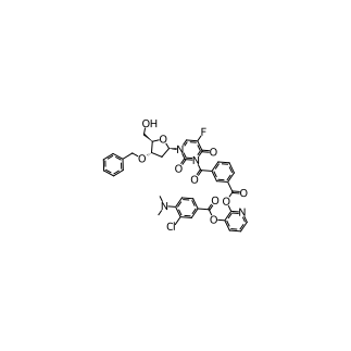 CN(C)c1ccc(C(=O)Oc2cccnc2OC(=O)c2cccc(C(=O)n3c(=O)c(F)cn([C@H]4C[C@H](OCc5ccccc5)[C@@H](CO)O4)c3=O)c2)cc1Cl